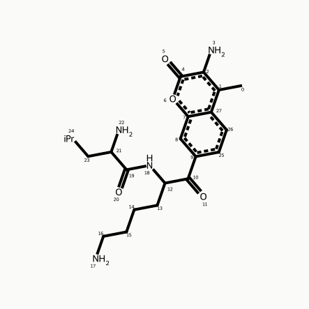 Cc1c(N)c(=O)oc2cc(C(=O)C(CCCCN)NC(=O)C(N)CC(C)C)ccc12